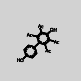 CC(=O)c1c(O)c(C(C)=O)c(C(C)=O)c(-c2ccc(O)cc2)c1C(C)=O